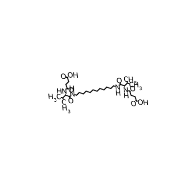 CC(C)[C@H](NC(=O)CCC(=O)O)C(=O)NCCCCCCCCCCCCNC(=O)[C@@H](NC(=O)CCC(=O)O)C(C)C